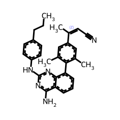 CCCc1ccc(Nc2nc(N)c3cccc(-c4c(C)cc(/C(C)=C\C#N)cc4C)c3n2)cc1